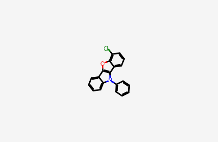 Clc1cccc2c1oc1c3ccccc3n(-c3ccccc3)c21